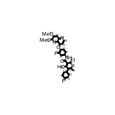 CCc1nc(C)c(-c2ccc(F)cc2)c(O)c1C(=O)Nc1ccc(Oc2ccnc3cc(OC)c(OC)nc23)c(F)c1